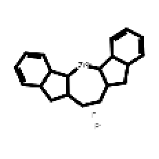 C1=CC2CC3CCC4CC5C=CC=CC5[CH]4[Zr+2][CH]3C2C=C1.[F-].[F-]